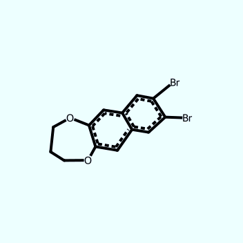 Brc1cc2cc3c(cc2cc1Br)OCCCO3